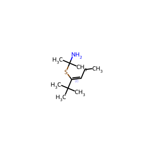 CC/C=C(\SC(C)(C)N)C(C)(C)C